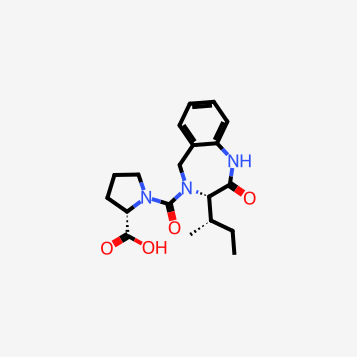 CC[C@H](C)[C@H]1C(=O)Nc2ccccc2CN1C(=O)N1CCC[C@H]1C(=O)O